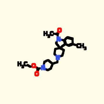 CCOC(=O)N1CCC(CN2CCC3(CC2)CN(C(C)=O)c2ccc(C)cc23)CC1